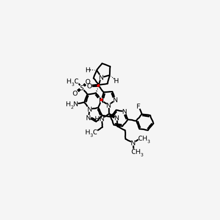 CCN/C(=N\CCCN(C)C)n1ncc(C(=O)N2[C@@H]3CC[C@H]2C[C@H](c2nc4c(-c5ccc(-c6ccccc6F)nc5)cnn4c(N)c2S(C)(=O)=O)C3)n1